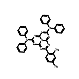 Oc1ccc(C2=NC3=NC(N(c4ccccc4)c4ccccc4)=NC4=NC(N(c5ccccc5)c5ccccc5)=NC(=N2)N34)c(O)c1